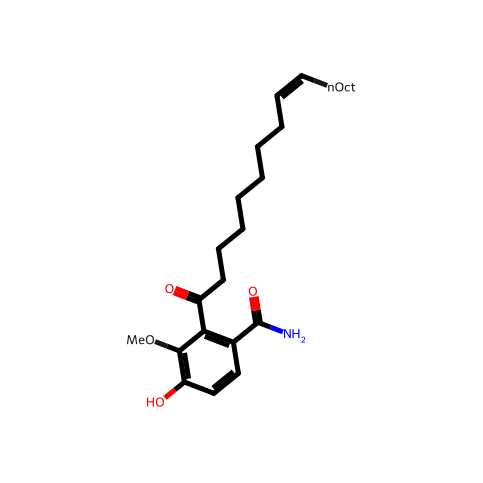 CCCCCCCC/C=C\CCCCCCCC(=O)c1c(C(N)=O)ccc(O)c1OC